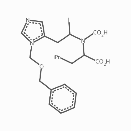 CC(C)CC(C(=O)O)N(C(=O)O)C(I)Cc1cncn1COCc1ccccc1